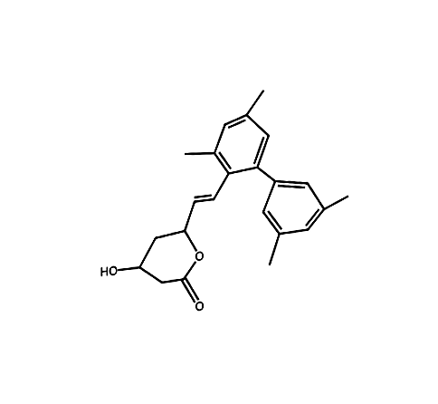 Cc1cc(C)cc(-c2cc(C)cc(C)c2C=CC2CC(O)CC(=O)O2)c1